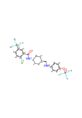 O=C(N[C@H]1CC[C@H](CNc2ccc(OC(F)(F)F)cc2)CC1)c1cc(C(F)(F)F)ccc1Cl